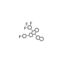 Fc1ccc(-c2ccc3c(-c4ccc5ccccc5c4)c4ccccc4c(-c4cc(F)c(F)c(F)c4)c3c2)cc1